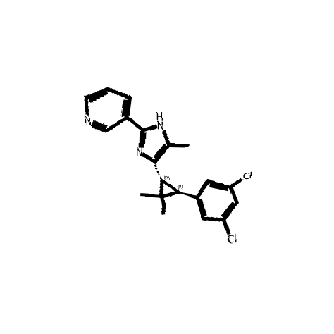 Cc1[nH]c(-c2cccnc2)nc1[C@@H]1[C@@H](c2cc(Cl)cc(Cl)c2)C1(C)C